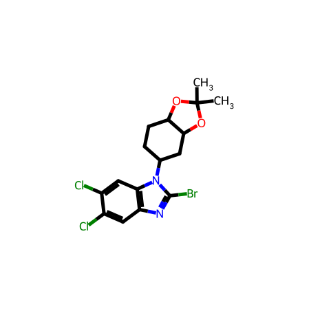 CC1(C)OC2CCC(n3c(Br)nc4cc(Cl)c(Cl)cc43)CC2O1